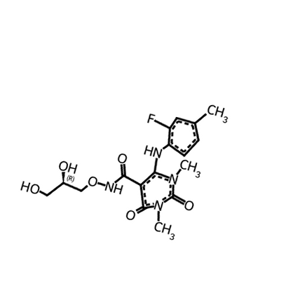 Cc1ccc(Nc2c(C(=O)NOC[C@H](O)CO)c(=O)n(C)c(=O)n2C)c(F)c1